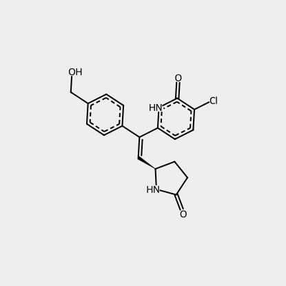 O=C1CC[C@H](C=C(c2ccc(CO)cc2)c2ccc(Cl)c(=O)[nH]2)N1